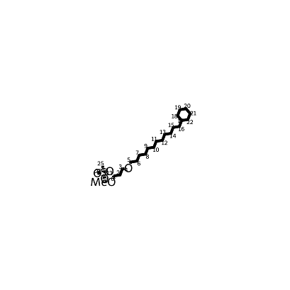 COC(CCOCCCCCCCCCCCCC1CCCCC1)OS(C)(=O)=O